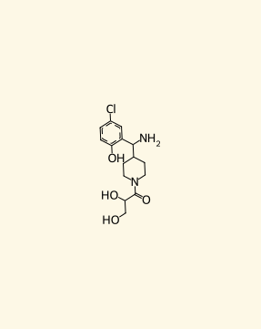 NC(c1cc(Cl)ccc1O)C1CCN(C(=O)C(O)CO)CC1